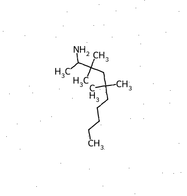 CCCCCC(C)(C)CC(C)(C)C(C)N